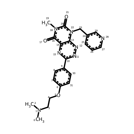 CN(C)CCOc1ccc(-c2nnc3c(n2)c(=O)n(C)c(=O)n3Cc2cccnc2)cc1